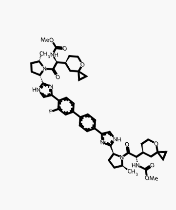 COC(=O)N[C@H](C(=O)N1[C@@H](C)CC[C@H]1c1nc(-c2ccc(-c3ccc(-c4c[nH]c([C@@H]5CC[C@H](C)N5C(=O)[C@@H](NC(=O)OC)[C@H]5CCOC6(CC6)C5)n4)c(F)c3)cc2)c[nH]1)[C@H]1CCOC2(CC2)C1